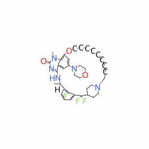 C[C@H]1Nc2nc(=O)n(C)c3c(cc(N4CCOCC4)cc23)OCCCCCCCCCN2CCC(CC2)C(F)(F)c2cccc1c2F